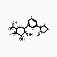 CN1CCCC1c1ccc[n+](C2OC(C(=O)O)C(O)C(O)C2O)c1